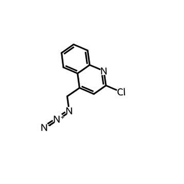 [N-]=[N+]=NCc1cc(Cl)nc2ccccc12